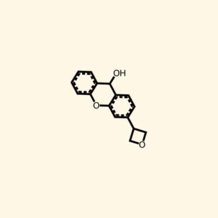 OC1c2ccccc2Oc2cc(C3COC3)ccc21